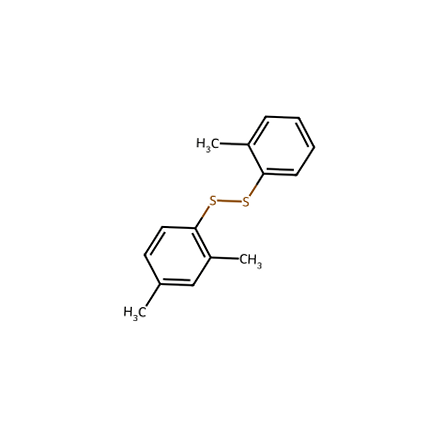 Cc1ccc(SSc2ccccc2C)c(C)c1